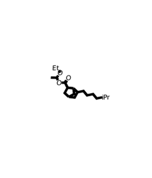 CCOC(C)OC(=O)C1CC2CC(CCCCC(C)C)C1C2